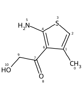 Cc1csc(N)c1C(=O)CO